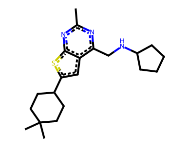 Cc1nc(CNC2CCCC2)c2cc(C3CCC(C)(C)CC3)sc2n1